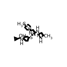 Cc1cc(Nc2cc(N3CCN(C)CC3)nc(Sc3ccc(NC(O)C4CC4)cc3)n2)n[nH]1